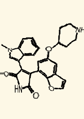 Cn1cc(C2=C(c3cc(OC4CCNCC4)cc4ccoc34)C(=O)NC2=O)c2ccccc21